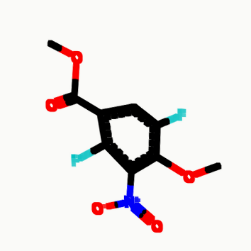 COC(=O)c1cc(F)c(OC)c([N+](=O)[O-])c1F